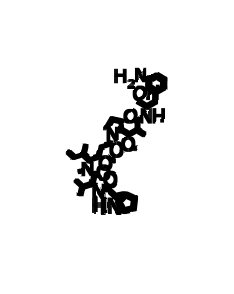 CCC(C)C(C(CC(=O)N1CCCC1C(OC)C(C)C(=O)NC(CO)Cc1cccc(N)c1)OC)N(C)C(=O)C(NC(=O)C1NC2CCC1C2)C(C)C